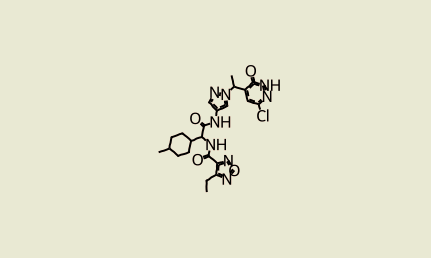 CCc1nonc1C(=O)NC(C(=O)Nc1cnn(C(C)c2cc(Cl)n[nH]c2=O)c1)C1CCC(C)CC1